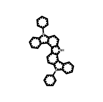 c1ccc(-n2c3ccccc3c3c4[nH]c5ccc6c(c7ccccc7n6-c6ccccc6)c5c4ccc32)cc1